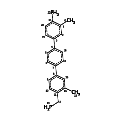 Cc1cc(-c2ccc(-c3ccc(CP)c(C)c3)cc2)ccc1P